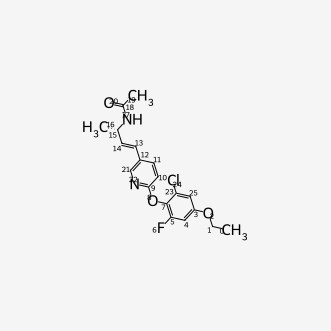 CCOc1cc(F)c(Oc2ccc(/C=C/[C@H](C)NC(C)=O)cn2)c(Cl)c1